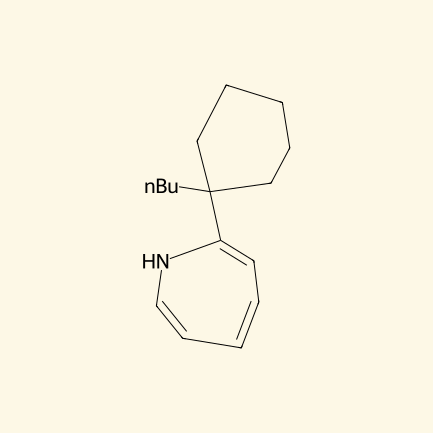 CCCCC1(C2=CC=CC=CN2)CCCCC1